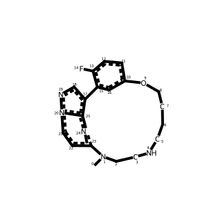 CN1CCNCCCCOc2ccc(F)c(c2)-c2cnn3ccc1nc23